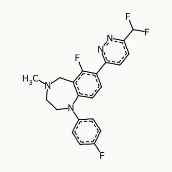 CN1CCN(c2ccc(F)cc2)c2ccc(-c3ccc(C(F)F)nn3)c(F)c2C1